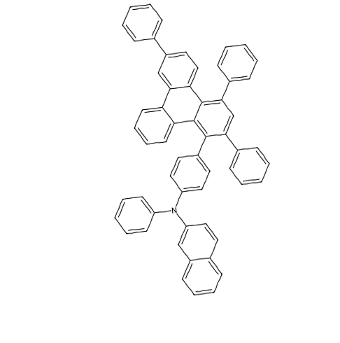 c1ccc(-c2ccc3c(c2)c2ccccc2c2c(-c4ccc(N(c5ccccc5)c5ccc6ccccc6c5)cc4)c(-c4ccccc4)cc(-c4ccccc4)c32)cc1